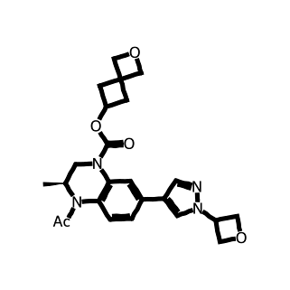 CC(=O)N1c2ccc(-c3cnn(C4COC4)c3)cc2N(C(=O)OC2CC3(COC3)C2)C[C@@H]1C